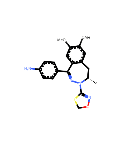 COc1cc2c(cc1OC)C(c1ccc(N)cc1)=NN(C1=NOCS1)[C@@H](C)C2